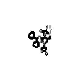 N[C@@H]1C(=O)N2C(C(=O)OC(c3ccccc3)c3ccccc3)=C(CSC3=CC(=O)OC3)CS[C@H]12